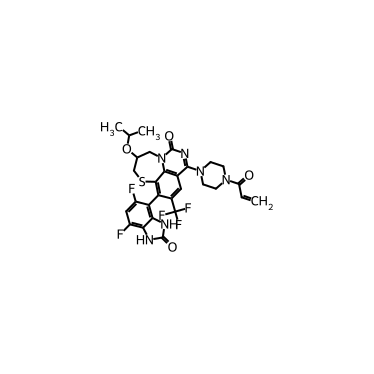 C=CC(=O)N1CCN(c2nc(=O)n3c4c(c(-c5c(F)cc(F)c6[nH]c(=O)[nH]c56)c(C(F)(F)F)cc24)SCC(OC(C)C)C3)CC1